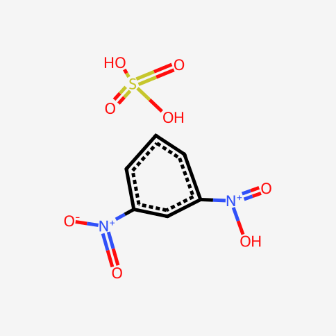 O=S(=O)(O)O.O=[N+]([O-])c1cccc([N+](=O)O)c1